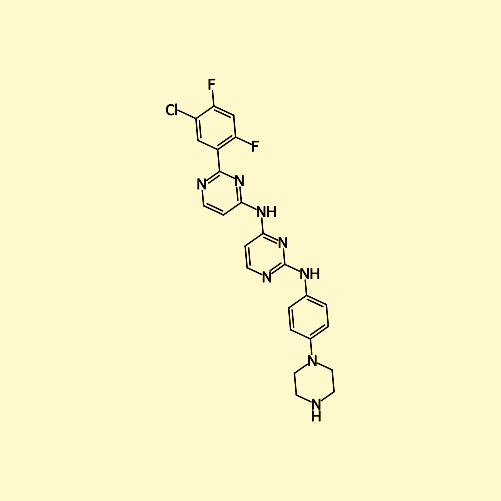 Fc1cc(F)c(-c2nccc(Nc3ccnc(Nc4ccc(N5CCNCC5)cc4)n3)n2)cc1Cl